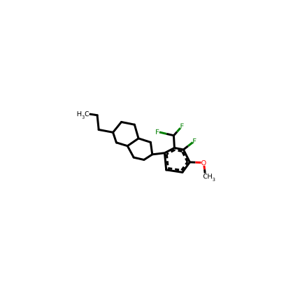 CCCC1CCC2CC(c3ccc(OC)c(F)c3C(F)F)CCC2C1